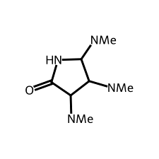 CNC1NC(=O)C(NC)C1NC